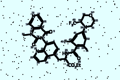 CCOC(=O)C(Cc1ccc(-n2c(=O)c3ccncc3n(C)c2=O)c2ncccc12)NC(=O)c1c(C)cc(N2CCOC[C@@H]2C(F)(F)F)cc1F